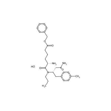 CCCN(C(=O)[C@@H](N)CCCC(=O)OCc1ccccc1)[C@H](CC(N)=O)Cc1ccc(C)cc1.Cl